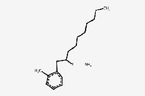 CCCCCCCCC(I)Cc1ccccc1C.N